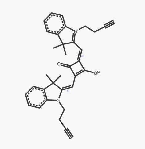 C#CCCN1/C(=C/C2=C(O)C(=C/C3=[N+](CCC#C)c4ccccc4C3(C)C)/C2=O)C(C)(C)c2ccccc21